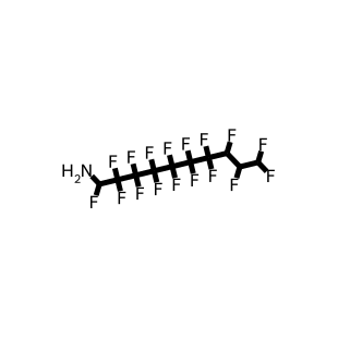 NC(F)C(F)(F)C(F)(F)C(F)(F)C(F)(F)C(F)(F)C(F)(F)C(F)C(F)C(F)F